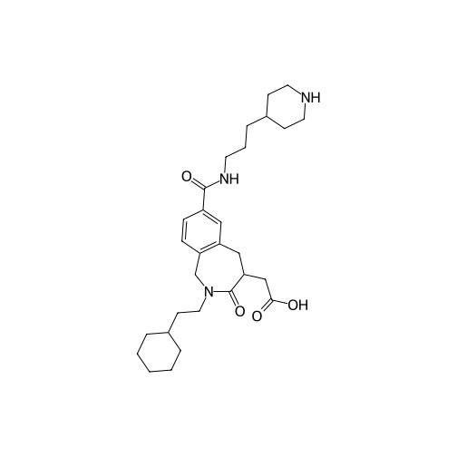 O=C(O)CC1Cc2cc(C(=O)NCCCC3CCNCC3)ccc2CN(CCC2CCCCC2)C1=O